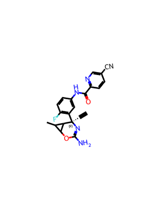 C#C[C@]1(c2cc(NC(=O)c3ccc(C#N)cn3)ccc2F)N=C(N)OC2C(C)C21